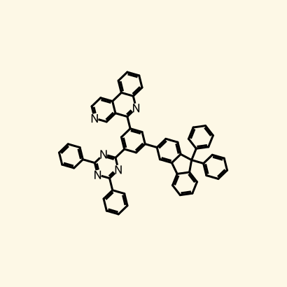 c1ccc(-c2nc(-c3ccccc3)nc(-c3cc(-c4ccc5c(c4)-c4ccccc4C5(c4ccccc4)c4ccccc4)cc(-c4nc5ccccc5c5ccncc45)c3)n2)cc1